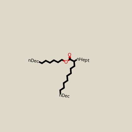 CCCCCCCCCCCCCCCCCCC(CCCCCCC)C(=O)OCCCCCCCCCCCCCCCC